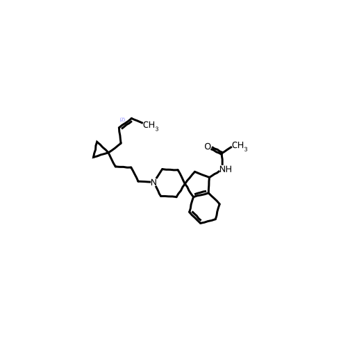 C/C=C\CC1(CCCN2CCC3(CC2)CC(NC(C)=O)C2=C3C=CCC2)CC1